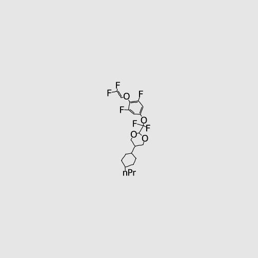 CCCC1CCC(C2COC(C(F)(F)Oc3cc(F)c(OC=C(F)F)c(F)c3)OC2)CC1